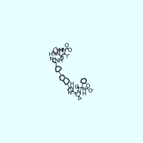 COC(=O)N[C@H](C(=O)N1CC2(CC2)C[C@H]1c1ncc(-c2ccc3cc(-c4ccc(-c5cnc([C@@H]6[C@H]7CC[C@H](C7)N6C(=O)[C@@H](NC(=O)OC)C(C)C)[nH]5)cc4)ccc3c2)[nH]1)c1ccccc1